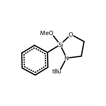 CO[Si]1(c2ccccc2)OCCN1C(C)(C)C